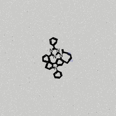 C=C1/C=C\C=C/Cc2cc3c(cc2N1c1nc(-c2ccccc2)nc(-c2ccccc2)n1)c1ccccc1n3-c1ccccc1